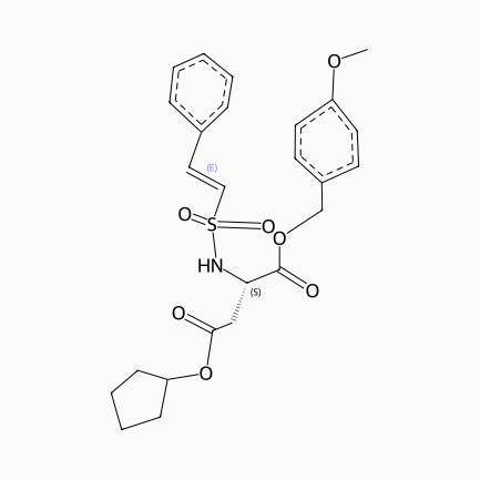 COc1ccc(COC(=O)[C@H](CC(=O)OC2CCCC2)NS(=O)(=O)/C=C/c2ccccc2)cc1